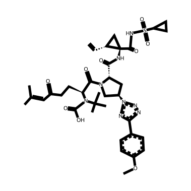 C=C[C@@H]1C[C@]1(NC(=O)[C@@H]1C[C@@H](n2nnc(-c3ccc(OC)cc3)n2)CN1C(=O)[C@H](CCC(=O)C=C(C)C)N(C(=O)O)C(C)(C)C)C(=O)NS(=O)(=O)C1CC1